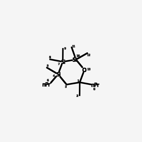 CCCC1(C)C[Si](C)(CCC)[Si](C)(C)[Si](C)(C)O1